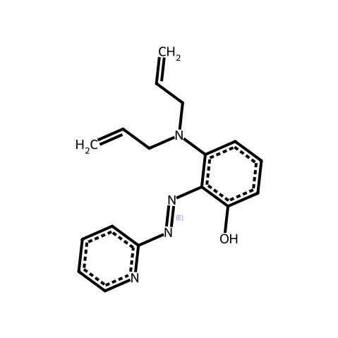 C=CCN(CC=C)c1cccc(O)c1/N=N/c1ccccn1